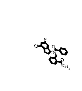 NC(=O)c1ccccc1CN(C(=O)c1ccccc1)[C@@H]1CCc2c(Cl)cc(F)cc21